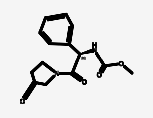 COC(=O)N[C@@H](C(=O)N1CCC(=O)C1)c1ccccc1